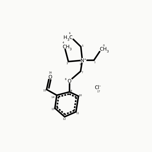 CC[N+](CC)(CC)COc1ccccc1C=O.[Cl-]